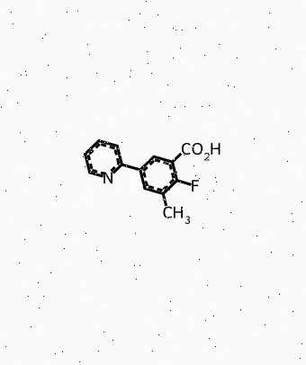 Cc1cc(-c2ccccn2)cc(C(=O)O)c1F